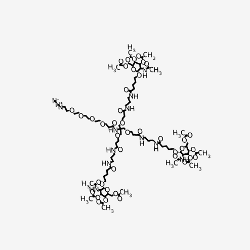 CC(=O)NC1C(OC(C)=O)[C@@H](OC(C)=O)C(COC(C)=O)O[C@H]1OCCCCC(=O)NCCCNC(=O)CCOCC(COCCC(=O)NCCCNC(=O)CCCCO[C@@H]1OC(COC(C)=O)[C@H](OC(C)=O)C(OC(C)=O)C1NC(C)=O)(COCCC(=O)NCCCNC(=O)CCCCO[C@@H]1OC(COC(C)=O)[C@H](OC(C)=O)C(OC(C)=O)C1NC(C)=O)NC(=O)CCOCCOCCOCCOCCN=[N+]=[N-]